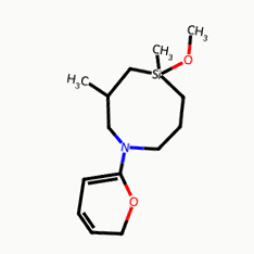 CO[Si]1(C)CCCN(C2=CC=CCO2)CC(C)C1